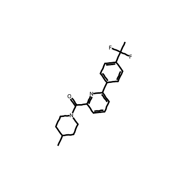 CC1CCN(C(=O)c2cccc(-c3ccc(C(C)(F)F)cc3)n2)CC1